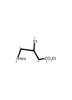 CCCCCCCC(CC)CC(=O)OCC